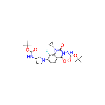 CC(C)(C)OC(=O)NC1CCN(c2ccc3c(=O)n(NC(=O)OC(C)(C)C)c(=O)n(C4CC4)c3c2F)C1